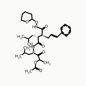 CC(=O)OC(C)C(=O)N(CC(C)C)NC(=O)[C@H](CC(C)C)[C@H](CC=Cc1ccccc1)C(=O)NOC1CCCCO1